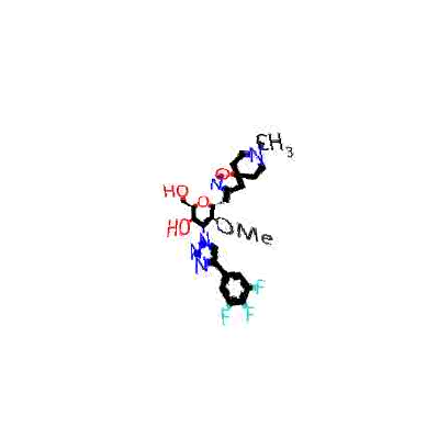 CO[C@@H]1[C@@H](n2cc(-c3cc(F)c(F)c(F)c3)nn2)[C@@H](O)[C@@H](CO)O[C@@H]1CC1=NOC2(CCN(C)CC2)C1